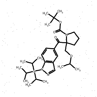 CC(C)OCC1(C(=O)c2ccc3c(cnn3[Si](C(C)C)(C(C)C)C(C)C)c2)CCCN1C(=O)OC(C)(C)C